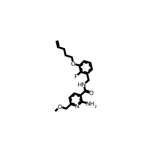 C=CCCCOc1cccc(CNC(=O)c2ccc(COC)nc2N)c1F